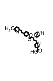 Cc1ccc(CCc2ccc(OC(=O)C(CCc3ccc(C(=O)O)cn3)N3CCNCC3)cc2)nc1